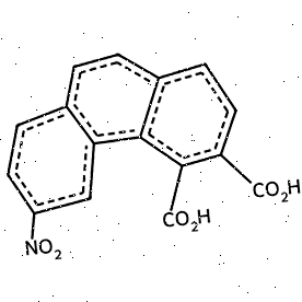 O=C(O)c1ccc2ccc3ccc([N+](=O)[O-])cc3c2c1C(=O)O